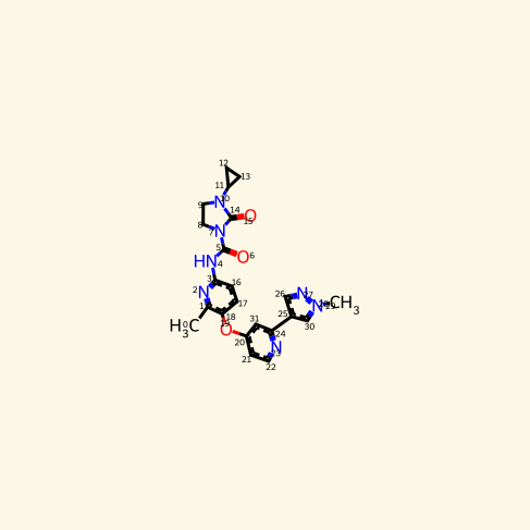 Cc1nc(NC(=O)N2CCN(C3CC3)C2=O)ccc1Oc1ccnc(-c2cnn(C)c2)c1